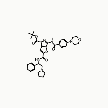 CC(C)(C)OC(=O)n1nc(NC(=O)c2ccc(N3CCOCC3)cc2)c2sc(C(=O)NC(CN3CCCC3)c3ccccc3)cc21